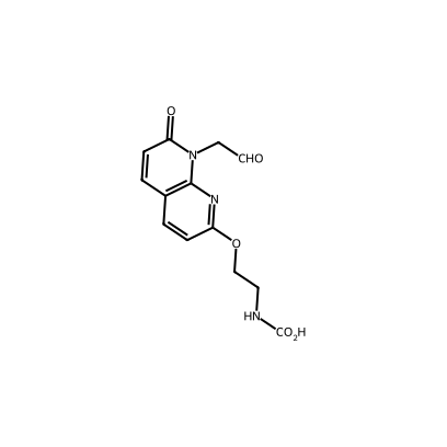 O=CCn1c(=O)ccc2ccc(OCCNC(=O)O)nc21